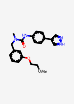 COCCOc1cccc(CN(C)C(=O)Nc2ccc(-c3cn[nH]c3)cc2)c1